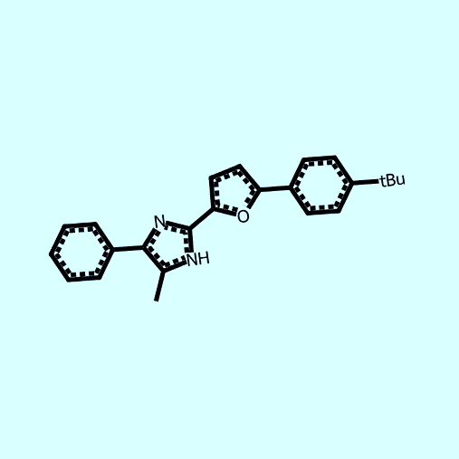 Cc1[nH]c(-c2ccc(-c3ccc(C(C)(C)C)cc3)o2)nc1-c1ccccc1